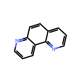 [c]1cc2ncccc2c2ncccc12